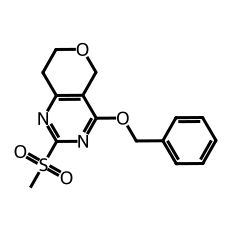 CS(=O)(=O)c1nc2c(c(OCc3ccccc3)n1)COCC2